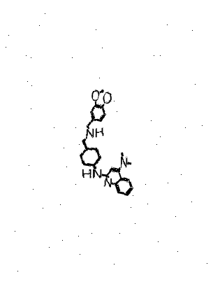 CN(C)c1cc(NC2CCC(CNCc3ccc4c(c3)OCO4)CC2)nc2ccccc12